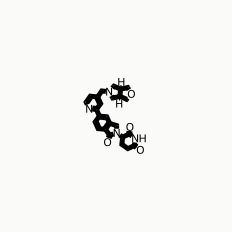 O=C1CCC(N2Cc3cc(-c4cc(CN5C[C@H]6COC[C@H]6C5)ccn4)ccc3C2=O)C(=O)N1